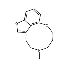 CN1CCCOc2cccc3occ(c23)CC1